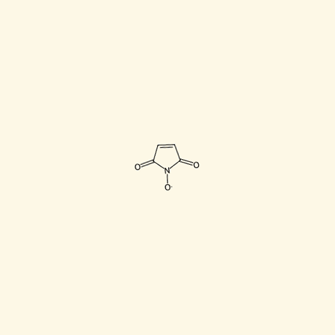 [O]N1C(=O)C=CC1=O